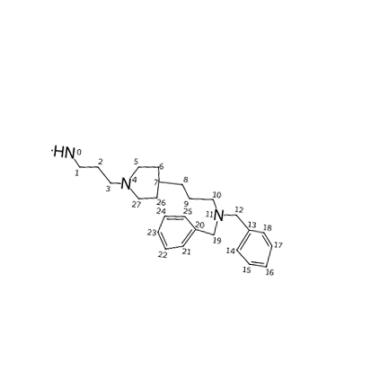 [NH]CCCN1CCC(CCCN(Cc2ccccc2)Cc2ccccc2)CC1